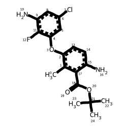 Cc1c(Oc2cc(Cl)cc(N)c2F)ccc(N)c1C(=O)OC(C)(C)C